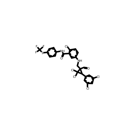 O=CC1(CNc2ccc(Cl)c(C(=O)Nc3ccc(SC(F)(F)F)cc3)c2)C(c2cc(Cl)cc(Cl)c2)C1(Cl)Cl